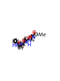 COC(=O)c1coc([C@H](C)NC(=O)c2nc(-c3csc([C@@H](NC(=O)c4ccccc4)C(C)C)n3)oc2C)n1